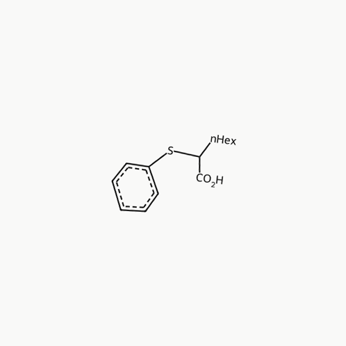 CCCCCCC(Sc1ccccc1)C(=O)O